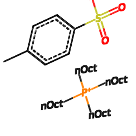 CCCCCCCC[P+](CCCCCCCC)(CCCCCCCC)CCCCCCCC.Cc1ccc(S(=O)(=O)[O-])cc1